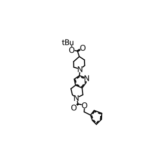 CC(C)(C)OC(=O)C1CCN(c2cc3c(cn2)CN(C(=O)OCc2ccccc2)CC3)CC1